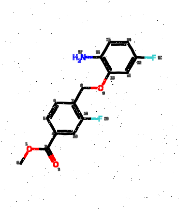 COC(=O)c1ccc(COc2cc(F)ccc2N)c(F)c1